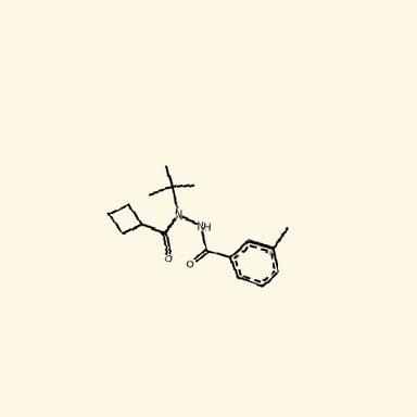 Cc1cccc(C(=O)NN(C(=O)C2CCC2)C(C)(C)C)c1